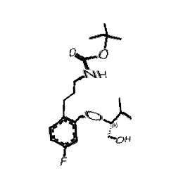 CC(C)[C@H](CO)Oc1cc(F)ccc1CCCNC(=O)OC(C)(C)C